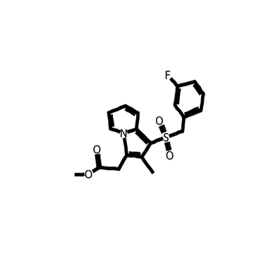 COC(=O)Cc1c(C)c(S(=O)(=O)Cc2cccc(F)c2)c2ccccn12